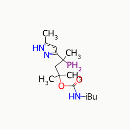 CCC(C)NC(=O)OC(C)(C)CC(C)(P)c1cc(C)[nH]n1